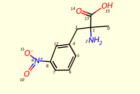 CC(N)(Cc1cccc([N+](=O)[O-])c1)C(=O)O